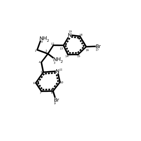 NCC(N)(Cc1ccc(Br)cn1)Cc1ccc(Br)cn1